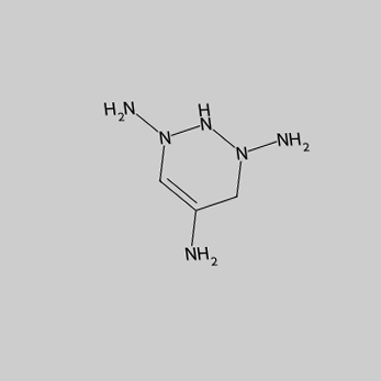 NC1=CN(N)NN(N)C1